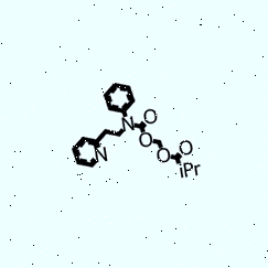 CC(C)C(=O)OCOC(=O)N(CCc1ccccn1)c1ccccc1